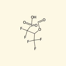 O=COC(C(F)(F)F)C(F)(F)S(=O)(=O)O